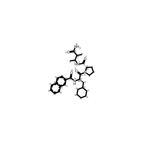 CC(NC(=O)[C@@H]1CCCN1C(=O)[C@@H](CC1CCCCC1)NC(=O)c1ccc2ccccc2c1)C(C)C(N)=O